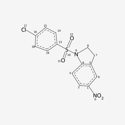 O=[N+]([O-])c1ccc2c(c1)CCN2S(=O)(=O)c1ccc(Cl)cc1